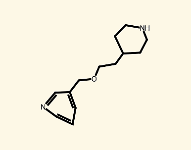 c1cncc(COCCC2CCNCC2)c1